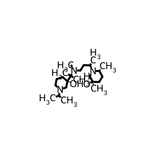 CC(C)N1CCC[C@@](O)(C(C)(C)N(C)CCC(C)N2C[C@](C)(O)CC[C@@H]2C)C1